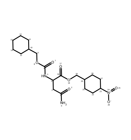 NC(=O)CC(NC(=O)OCC1CCCCC1)C(=O)OCC1CCC([N+](=O)[O-])CC1